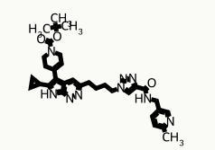 Cc1ccc(CNC(=O)c2cn(CCCCc3cc4c(C5=CCN(C(=O)OC(C)(C)C)CC5)c(C5CC5)[nH]c4nn3)nn2)cn1